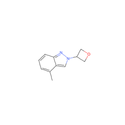 Cc1cccc2nn(C3COC3)cc12